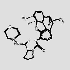 CN1CC[C@]23c4c5ccc(OC(=O)N6CCC[C@H]6C(=O)NN6CCOCC6)c4O[C@H]2[C@@H](O)C=CC3C1C5